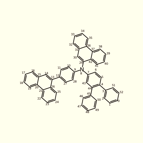 c1ccc(-c2ccc(N(c3ccc(-c4cc5ccccc5c5ccccc45)cc3)c3cc4ccccc4c4ccccc34)cc2-c2ccccc2)cc1